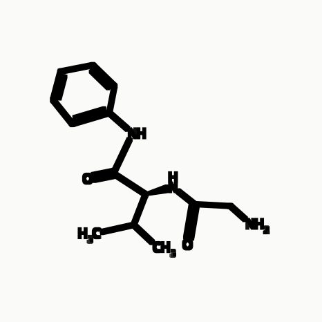 CC(C)[C@H](NC(=O)CN)C(=O)Nc1ccccc1